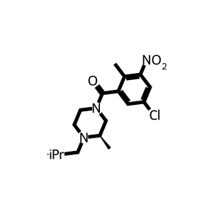 C[C](C)CN1CCN(C(=O)c2cc(Cl)cc([N+](=O)[O-])c2C)C[C@H]1C